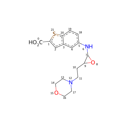 O=C(O)c1cc2cc(NC3OC3CCN3CCOCC3)ccc2s1